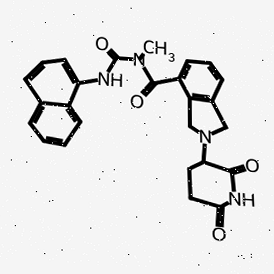 CN(C(=O)Nc1cccc2ccccc12)C(=O)c1cccc2c1CN(C1CCC(=O)NC1=O)C2